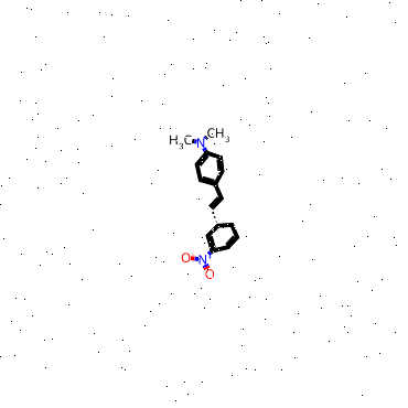 CN(C)c1ccc(/C=C/[C@H]2C=C([N+](=O)[O-])C=CC2)cc1